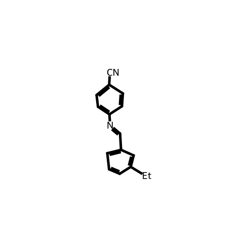 CCc1cccc(/C=N/c2ccc(C#N)cc2)c1